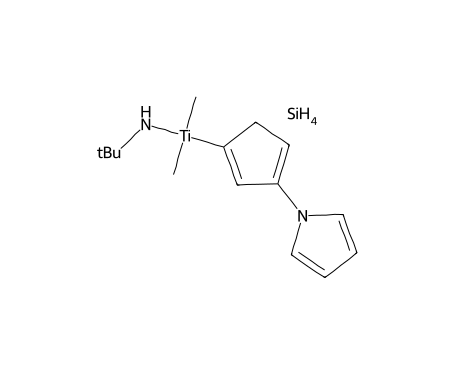 CC(C)(C)[NH][Ti]([CH3])([CH3])[C]1=CC(n2cccc2)=CC1.[SiH4]